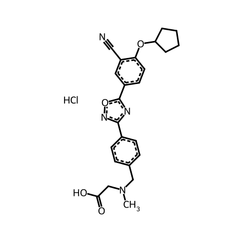 CN(CC(=O)O)Cc1ccc(-c2noc(-c3ccc(OC4CCCC4)c(C#N)c3)n2)cc1.Cl